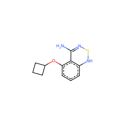 NC1=NSNc2cccc(OC3CCC3)c21